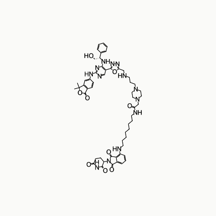 CC1(C)OC(=O)c2ccc(Nc3ncc(-c4nnc(CNCCCN5CCN(CC(=O)NCCCCCCCCNc6cccc7c6C(=O)N(C6CCC(=O)NC6=O)C7=O)CC5)o4)c(N[C@H](CO)c4ccccc4)n3)cc21